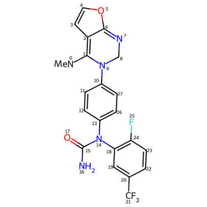 CNC1=c2ccoc2=NCN1c1ccc(N(C(N)=O)c2cc(C(F)(F)F)ccc2F)cc1